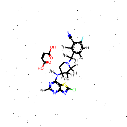 O=C(O)/C=C\C(=O)O.[2H]c1nc(N([2H])C2([2H])CCN(C([2H])([2H])c3c([2H])c([2H])c(F)c(C#N)c3[2H])C([2H])([2H])C2([2H])[2H])c2sc(Cl)nc2n1